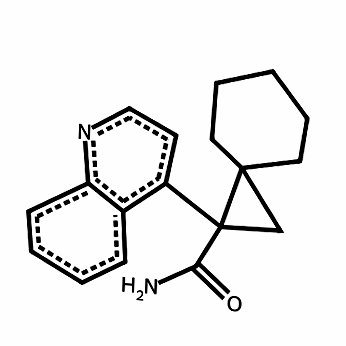 NC(=O)C1(c2ccnc3ccccc23)CC12CCCCC2